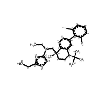 CCN(C[C@@]1(C)CC[C@H](C(C)(C)C)c2cc(-c3c(F)cccc3F)nnc21)c1nnc(CO)o1